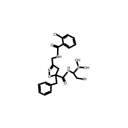 CC(C)CC(NC(=O)C1(Cc2ccccc2)CC(CNC(=O)c2ccccc2Cl)=NO1)B(O)O